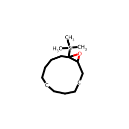 C[Si](C)(C)C12CCCCCCCCCCC1O2